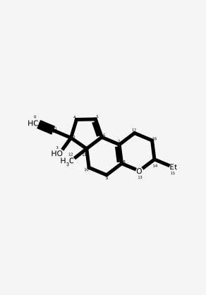 C#CC1(O)CC=C2C3=C(CCC21C)OC(CC)CC3